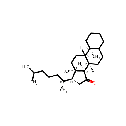 CC(C)CCC[C@@H](C)[C@H]1CC(=O)[C@@H]2[C@@H]3CCC4CCCC[C@]4(C)[C@H]3CC[C@]12C